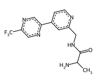 CC(N)C(=O)NCc1cc(-c2cnc(C(F)(F)F)cn2)ccn1